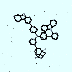 c1cc(N(c2ccc(-c3ccc4sc5ccccc5c4c3)cc2)c2ccc(-c3ccccc3-n3c4ccccc4c4ccccc43)cc2)cc(C23CCC45C(C[C@H]4C2)C[C@H]5C3)c1